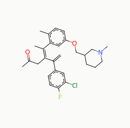 C=C(/C(CC(C)=O)=C(/C)c1cc(OCC2CCCN(C)C2)ccc1C)c1ccc(F)c(Cl)c1